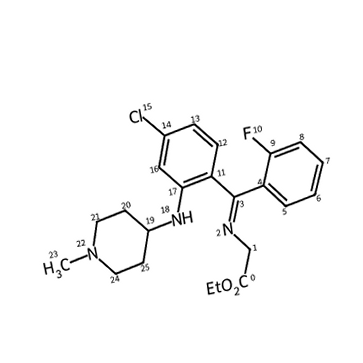 CCOC(=O)C/N=C(\c1ccccc1F)c1ccc(Cl)cc1NC1CCN(C)CC1